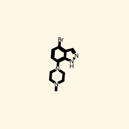 CN1CCN(c2ccc(Br)c3cn[nH]c23)CC1